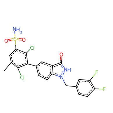 Cc1cc(S(N)(=O)=O)c(Cl)c(-c2ccc3c(c2)c(=O)[nH]n3Cc2ccc(F)c(F)c2)c1Cl